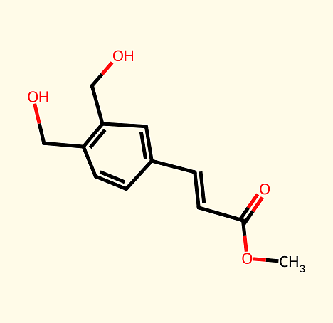 COC(=O)/C=C/c1ccc(CO)c(CO)c1